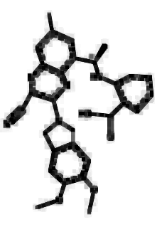 COc1cc2c(cc1OC)CN(c1nc3c([C@@H](C)Nc4ccccc4C(=O)O)cc(C)cc3nc1C#N)C2